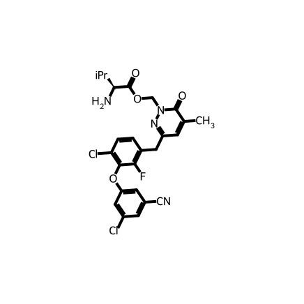 Cc1cc(Cc2ccc(Cl)c(Oc3cc(Cl)cc(C#N)c3)c2F)nn(COC(=O)[C@@H](N)C(C)C)c1=O